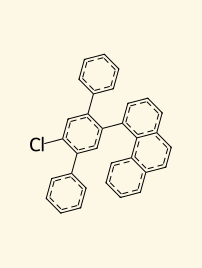 Clc1cc(-c2ccccc2)c(-c2cccc3ccc4ccccc4c23)cc1-c1ccccc1